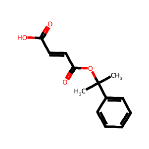 CC(C)(OC(=O)C=CC(=O)O)c1ccccc1